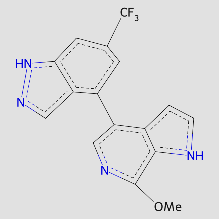 COc1ncc(-c2cc(C(F)(F)F)cc3[nH]ncc23)c2cc[nH]c12